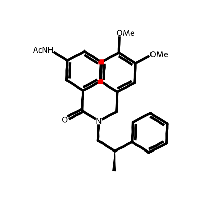 COc1ccc(CN(C[C@H](C)c2ccccc2)C(=O)c2cccc(NC(C)=O)c2)cc1OC